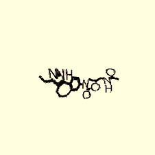 CCc1n[nH]c2c1CCCc1cc(N3CC(CNC(C)=O)OC3=O)ccc1-2